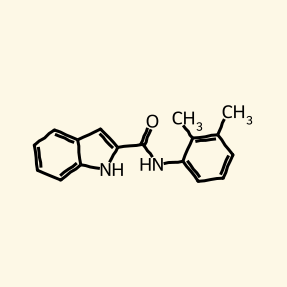 Cc1cccc(NC(=O)c2cc3ccccc3[nH]2)c1C